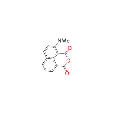 CNc1ccc2cccc3c2c1C(=O)OC3=O